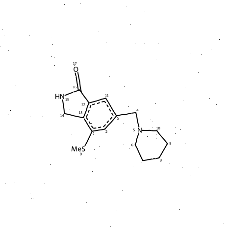 CSc1cc(CN2CCCCC2)cc2c1CNC2=O